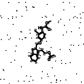 COC(=O)Nc1ccc(OCC2Sc3ccccc3N2CCOC(C)=O)cc1C